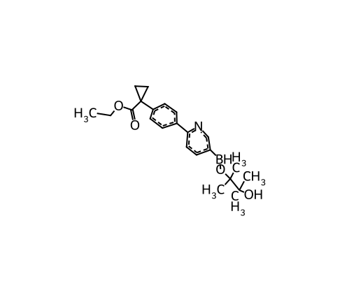 CCOC(=O)C1(c2ccc(-c3ccc(BOC(C)(C)C(C)(C)O)cn3)cc2)CC1